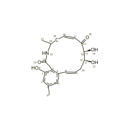 Cc1cc(O)c2c(c1)/C=C/C[C@H](O)[C@H](O)C(=O)/C=C\CC(C)NC2=O